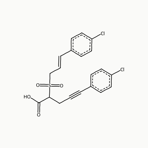 O=C(O)C(CC#Cc1ccc(Cl)cc1)S(=O)(=O)CC=Cc1ccc(Cl)cc1